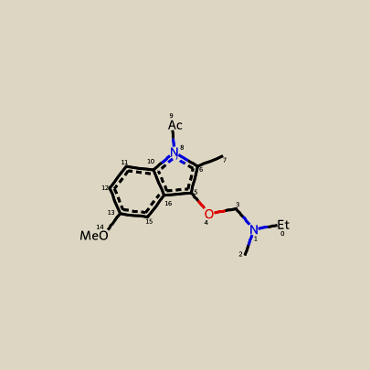 CCN(C)COc1c(C)n(C(C)=O)c2ccc(OC)cc12